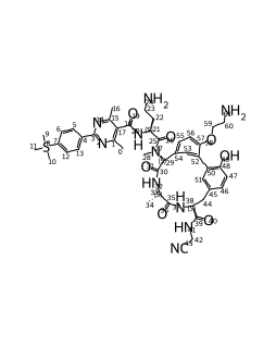 Cc1nc(-c2ccc(S(C)(C)C)cc2)nc(C)c1C(=O)N[C@@H](CCN)C(=O)N(C)[C@@H]1C(=O)N[C@@H](C)C(=O)N[C@H](C(=O)NCC#N)Cc2ccc(O)c(c2)-c2cc1ccc2OCCN